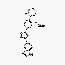 COCc1cc(-c2nc(-c3ccc4[nH]cnc4c3)no2)ccc1-c1ccccc1C